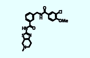 COc1ccc(C(=O)NCc2cccc(C(=O)Nc3nc4c(s3)CN(C)CC4)c2)cc1Cl